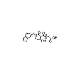 O=C(O)CNC(=O)C1=C(O)CCN(Cc2ccc3c(c2)CCC3)C1=O